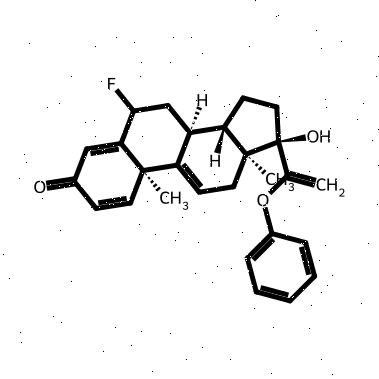 C=C(Oc1ccccc1)[C@@]1(O)CC[C@H]2[C@@H]3CC(F)C4=CC(=O)C=C[C@]4(C)C3=CC[C@@]21C